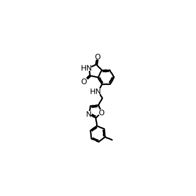 Cc1cccc(-c2ncc(CNc3cccc4c3C(=O)NC4=O)o2)c1